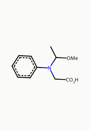 COC(C)N(CC(=O)O)c1ccccc1